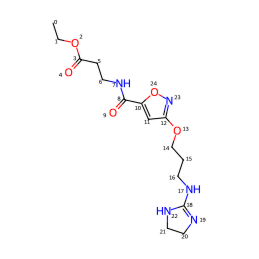 CCOC(=O)CCNC(=O)c1cc(OCCCNC2=NCCN2)no1